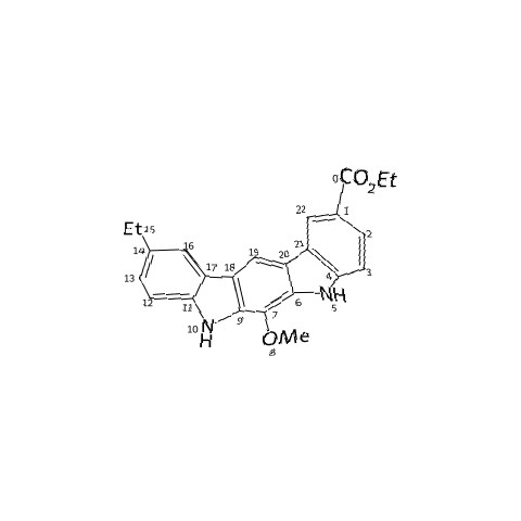 CCOC(=O)c1ccc2[nH]c3c(OC)c4[nH]c5ccc(CC)cc5c4cc3c2c1